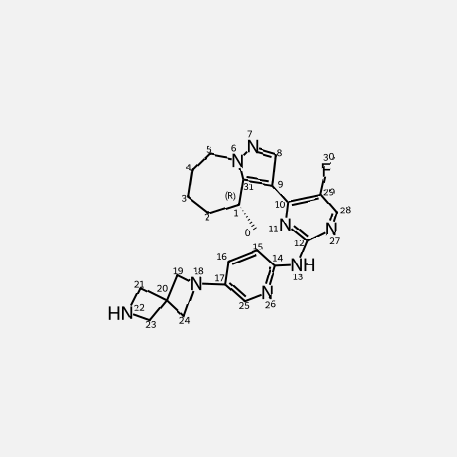 C[C@@H]1CCCCn2ncc(-c3nc(Nc4ccc(N5CC6(CNC6)C5)cn4)ncc3F)c21